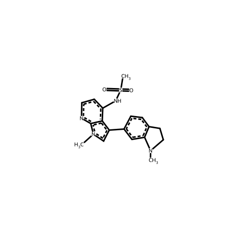 CN1CCc2ccc(-c3cn(C)c4nccc(NS(C)(=O)=O)c34)cc21